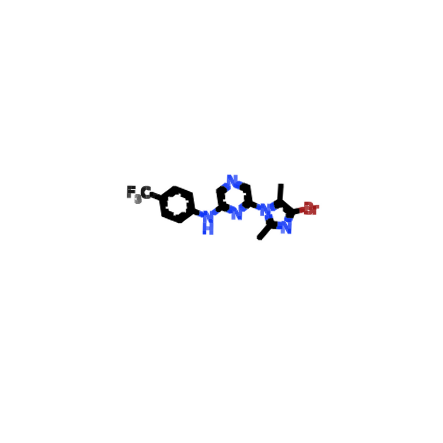 Cc1nc(Br)c(C)n1-c1cncc(Nc2ccc(C(F)(F)F)cc2)n1